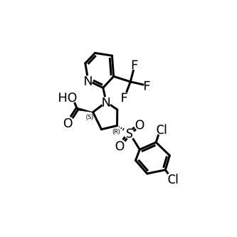 O=C(O)[C@@H]1C[C@@H](S(=O)(=O)c2ccc(Cl)cc2Cl)CN1c1ncccc1C(F)(F)F